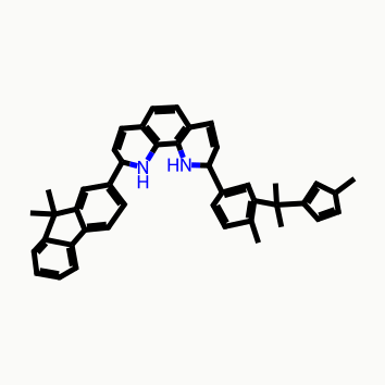 Cc1ccc(C2C=Cc3ccc4c(c3N2)NC(c2ccc3c(c2)C(C)(C)c2ccccc2-3)C=C4)cc1C(C)(C)C1=CC(C)C=C1